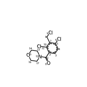 O=C(c1ccc(Cl)c(CCl)c1Cl)N1CCOCC1